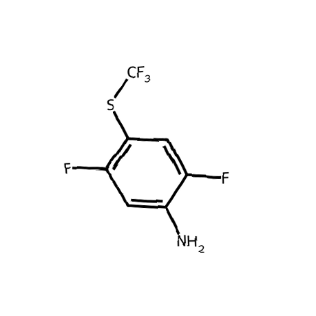 Nc1cc(F)c(SC(F)(F)F)cc1F